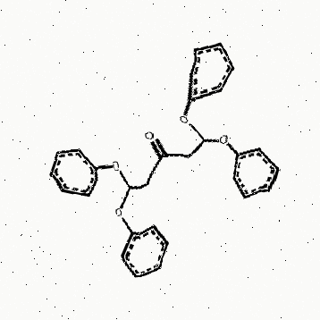 O=C(CC(Oc1ccccc1)Oc1ccccc1)CC(Oc1ccccc1)Oc1ccccc1